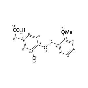 COc1ccccc1COc1ccc(CC(=O)O)cc1Cl